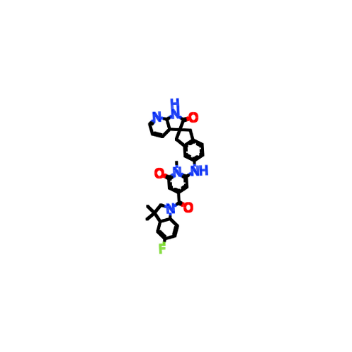 Cn1c(Nc2ccc3c(c2)CC2(C3)C(=O)NC3N=CC=CC32)cc(C(=O)N2CC(C)(C)C3C=C(F)C=CC32)cc1=O